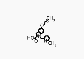 COCCOc1ccc2c(c1)cc(C(=O)O)n2Cc1cccc(C)n1